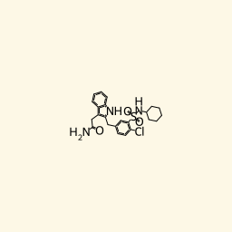 NC(=O)Cc1c(Cc2ccc(Cl)c(S(=O)(=O)NC3CCCCC3)c2)[nH]c2ccccc12